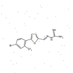 N=C(N)N/N=C/c1ccc(-c2ccc(Br)cc2C(F)(F)F)o1